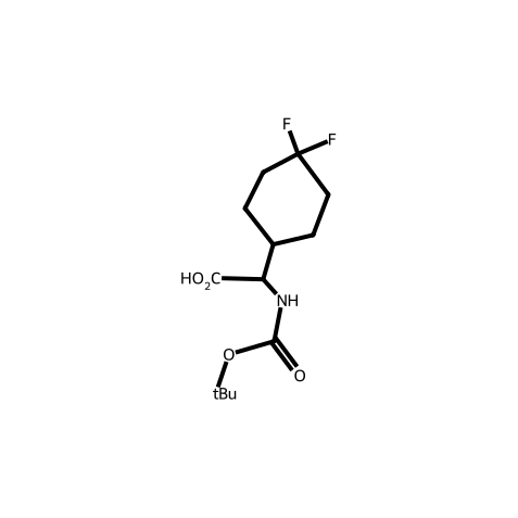 CC(C)(C)OC(=O)NC(C(=O)O)C1CCC(F)(F)CC1